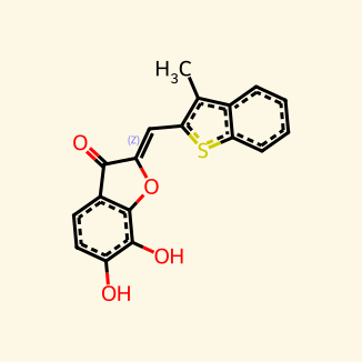 Cc1c(/C=C2\Oc3c(ccc(O)c3O)C2=O)sc2ccccc12